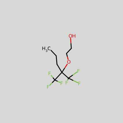 CCCC(OCCO)(C(F)(F)F)C(F)(F)F